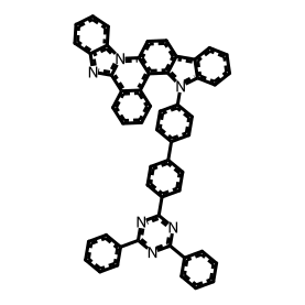 c1ccc(-c2nc(-c3ccccc3)nc(-c3ccc(-c4ccc(-n5c6ccccc6c6ccc7c(c8ccccc8c8nc9ccccc9n78)c65)cc4)cc3)n2)cc1